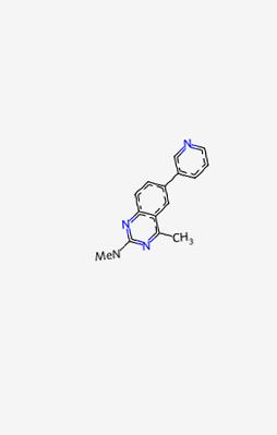 CNc1nc(C)c2cc(-c3cccnc3)ccc2n1